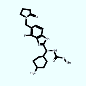 CC1CCC([C@H](NC(=O)OC(C)(C)C)c2nc3c(F)c(CN4CCCC4=O)ccc3[nH]2)CC1